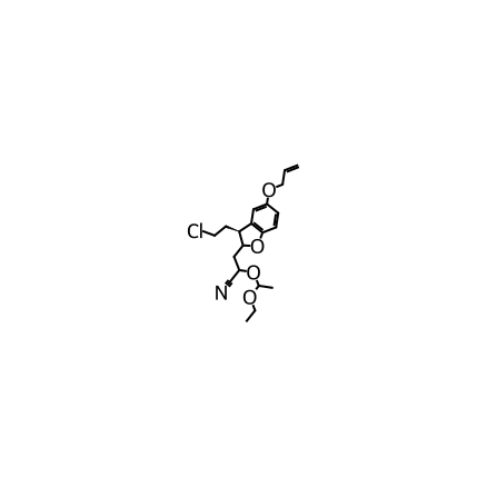 C=CCOc1ccc2c(c1)[C@H](CCCl)C(CC(C#N)OC(C)OCC)O2